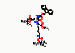 COC(=O)[C@@H](CCCCNC(=O)OC(C)(C)C)NC(=O)[C@@H](CCC(=O)OC(C)(C)C)NC(=O)OCC1c2ccccc2-c2ccccc21